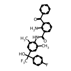 Cc1cc(C(O)(c2ccc(F)cc2)C(F)(F)F)cc(C)c1NC(=O)c1cccc(C(=O)c2ccccc2)c1N